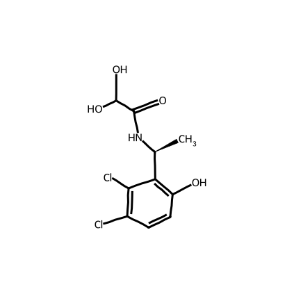 C[C@H](NC(=O)C(O)O)c1c(O)ccc(Cl)c1Cl